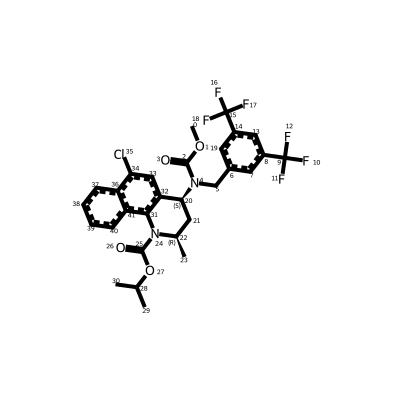 COC(=O)N(Cc1cc(C(F)(F)F)cc(C(F)(F)F)c1)[C@H]1C[C@@H](C)N(C(=O)OC(C)C)c2c1cc(Cl)c1ccccc21